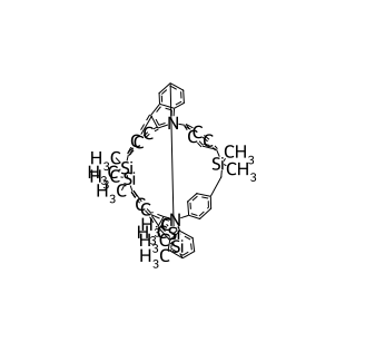 C[Si]1(C)Cc2ccc(cc2)-n2c3ccc4cc3c3cc(ccc32)[Si](C)(C)[Si](C)(C)c2ccc3c(c2)c2cc(ccc2n3-c2ccc1cc2)[Si](C)(C)[Si]4(C)C